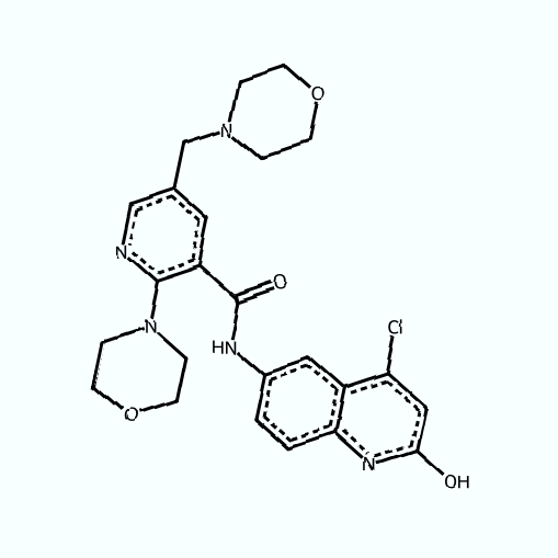 O=C(Nc1ccc2nc(O)cc(Cl)c2c1)c1cc(CN2CCOCC2)cnc1N1CCOCC1